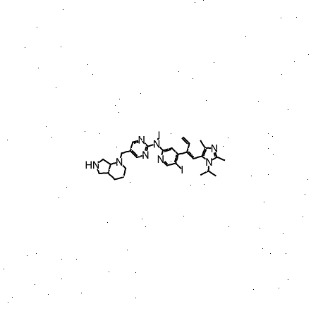 C=C/C(=C\c1c(C)nc(C)n1C(C)C)c1cc(N(I)c2ncc(CN3CCCC4CNCC43)cn2)ncc1I